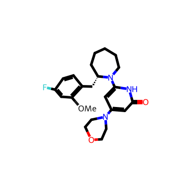 COc1cc(F)ccc1C[C@@H]1CCCCCN1c1cc(N2CCOCC2)cc(=O)[nH]1